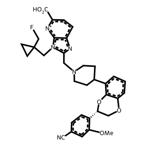 COc1cc(C#N)ccc1[C@H]1COc2cccc(C3CCN(Cc4nc5ccc(C(=O)O)nc5n4CC4(CF)CC4)CC3)c2O1